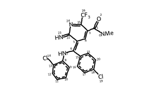 CNC(=O)C1=C/C(=C(/Nc2ccccc2Cl)c2ccc(Cl)cc2)C(=N)N=C1C(F)(F)F